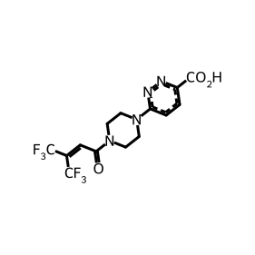 O=C(O)c1ccc(N2CCN(C(=O)C=C(C(F)(F)F)C(F)(F)F)CC2)nn1